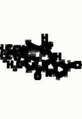 C#Cc1ccc2nc(C(=O)N3CCN(C(=O)OC(C)(C)C)C(C)C3)nc(Nc3cc(C4CC4)[nH]n3)c2c1